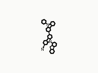 N#Cc1ccc2c3cc(-c4ccc5c(c4)c4ccccc4n5-c4ccccc4)ccc3n(-c3cccc4c3Cc3ccccc3-4)c2c1